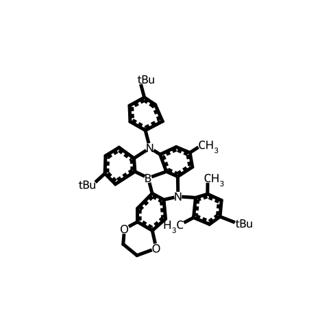 Cc1cc2c3c(c1)N(c1c(C)cc(C(C)(C)C)cc1C)c1cc4c(cc1B3c1cc(C(C)(C)C)ccc1N2c1ccc(C(C)(C)C)cc1)OCCO4